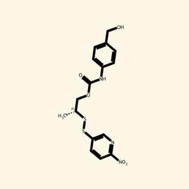 C[C@H](COC(=O)Nc1ccc(CO)cc1)SSc1ccc([N+](=O)[O-])nc1